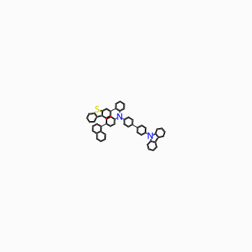 c1ccc(N(c2ccc(-c3ccc(-n4c5ccccc5c5ccccc54)cc3)cc2)c2ccc(-c3cccc4ccccc34)cc2)c(-c2ccc3c(c2)sc2ccccc23)c1